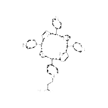 O=C(O)CC[n+]1ccc(-c2c3nc(c(-c4ccncc4)c4ccc([nH]4)c(-c4ccncc4)c4nc(c(-c5ccncc5)c5ccc2[nH]5)C=C4)C=C3)cc1